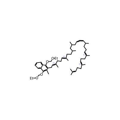 CCOCOc1c(C)c(C/C=C(\C)CC/C=C(\C)CCC(C)CC(C)CC=C=CC(C)CC/C=C(\C)CC/C=C(\C)CCC=C(C)C)c(OCOCC)c2ccccc12